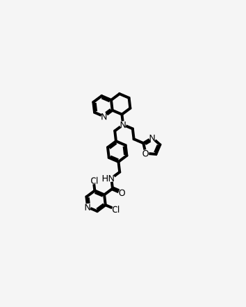 O=C(NCc1ccc(CN(CCc2ncco2)C2CCCc3cccnc32)cc1)c1c(Cl)cncc1Cl